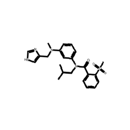 CC(C)CN(C(=O)c1ccccc1S(C)(=O)=O)c1cccc(N(C)Cc2c[nH]cn2)c1